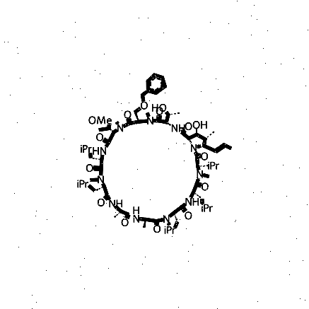 C/C=C/C[C@@H](C)[C@@H](O)[C@H]1C(=O)N[C@@H]([C@@H](C)O)C(=O)N(C)[C@H](COCc2ccccc2)C(=O)N(C)[C@@H](C(C)OC)C(=O)N[C@@H](CC(C)C)C(=O)N(C)[C@@H](CC(C)C)C(=O)N[C@@H](C)C(=O)N[C@H](C)C(=O)N(C)[C@@H](CC(C)C)C(=O)N[C@@H](CC(C)C)C(=O)N(C)[C@@H](C(C)C)C(=O)N1C